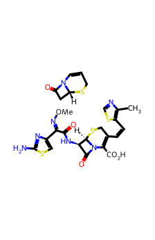 CO/N=C(\C(=O)N[C@@H]1C(=O)N2C(C(=O)O)=C(/C=C\c3scnc3C)CS[C@H]12)c1csc(N)n1.O=C1C[C@H]2SCC=CN12